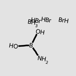 B.Br.Br.Br.NB(O)O